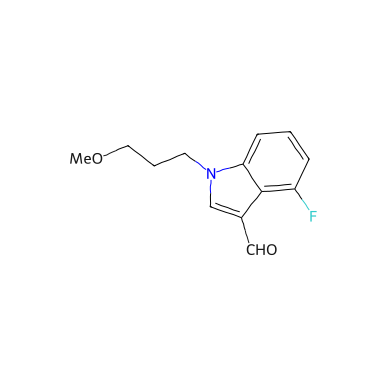 COCCCn1cc(C=O)c2c(F)cccc21